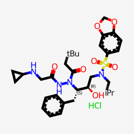 CC(C)CN(C[C@@H](O)[C@H](Cc1ccccc1)N(NC(=O)CNC1CC1)C(=O)CC(C)(C)C)S(=O)(=O)c1ccc2c(c1)OCO2.Cl